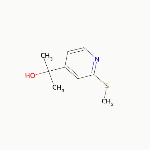 CSc1cc(C(C)(C)O)ccn1